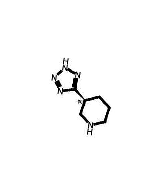 C1CNC[C@@H](c2nn[nH]n2)C1